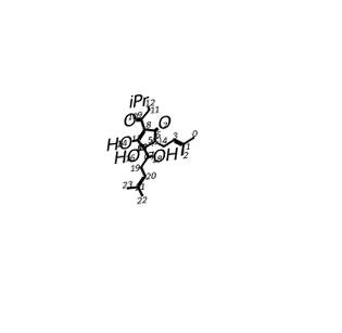 CC(C)=CC[C@@H]1C(=O)C(C(=O)CC(C)C)=C(O)[C@]1(O)[C@@H](O)CC=C(C)C